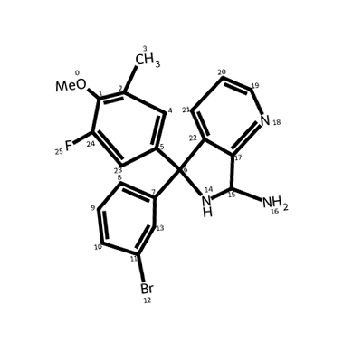 COc1c(C)cc(C2(c3cccc(Br)c3)NC(N)c3ncccc32)cc1F